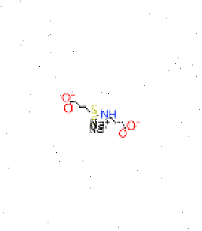 O=C([O-])CCCCNC(=S)SCCCCC(=O)[O-].[Na+].[Na+]